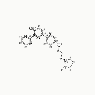 CC1CCCN1CCCOc1ccc(-c2ccc(=O)n(-c3ncccn3)n2)cc1